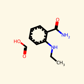 CCNc1ccccc1C(N)=O.O=CO